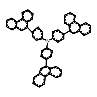 c1ccc2c(c1)cc(-c1ccc(N(c3ccc(-c4cc5ccccc5c5ccccc45)cc3)c3ccc(-c4cc5ccccc5c5ccccc45)cc3)cc1)c1ccccc12